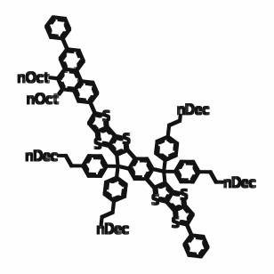 CCCCCCCCCCCCc1ccc(C2(c3ccc(CCCCCCCCCCCC)cc3)c3cc4c(cc3-c3sc5c(sc6cc(-c7ccccc7)sc65)c32)C(c2ccc(CCCCCCCCCCCC)cc2)(c2ccc(CCCCCCCCCCCC)cc2)c2c-4sc3c2sc2cc(-c4ccc5c(c4)c(CCCCCCCC)c(CCCCCCCC)c4cc(-c6ccccc6)ccc45)sc23)cc1